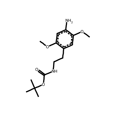 COc1cc(CCNC(=O)OC(C)(C)C)c(OC)cc1N